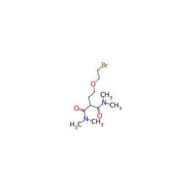 CN(C)C(=O)C(CCOCCBr)C(=O)N(C)C